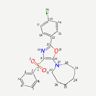 O=S(=O)(c1ccccc1)c1nc(-c2ccc(F)cc2)oc1N1CCCCCC1